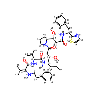 CC[C@H](C)[C@@H]([C@@H](CC(=O)N1CCC[C@H]1[C@H](OC)[C@@H](C)C(=O)N[C@@H](Cc1ccccc1)c1nccs1)OC)N(C)C(=O)[C@@H](NC(=O)[C@H](C(C)C)N(C)CCc1cc[c]cc1)C(C)C